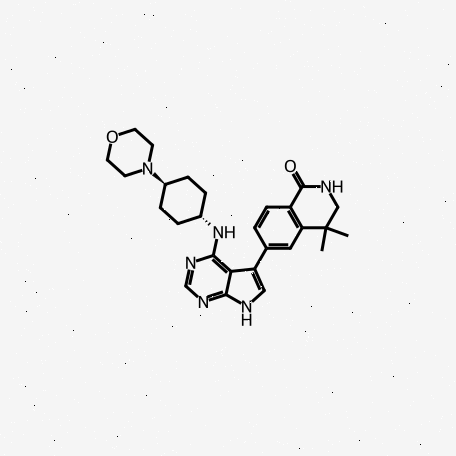 CC1(C)CNC(=O)c2ccc(-c3c[nH]c4ncnc(N[C@H]5CC[C@H](N6CCOCC6)CC5)c34)cc21